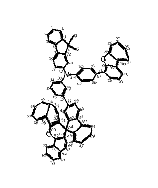 CC1(C)c2ccccc2-c2ccc(N(c3ccc(-c4cccc5c4oc4ccccc45)cc3)c3cccc(-c4ccc5c(c4)C4(c6ccccc6-5)c5ccc6ccccc6c5Oc5c4ccc4ccccc54)c3)cc21